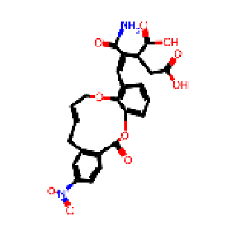 NC(=O)/C(=C/c1cccc2c1OC/C=C/Cc1cc([N+](=O)[O-])ccc1C(=O)O2)C(CC(=O)O)C(=O)O